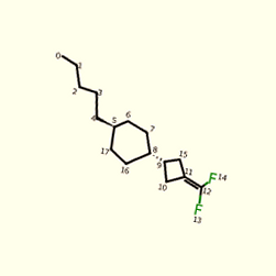 CCCCC[C@H]1CC[C@H](C2CC(=C(F)F)C2)CC1